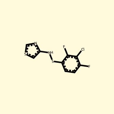 Fc1ccc(SNc2cscn2)c(F)c1Cl